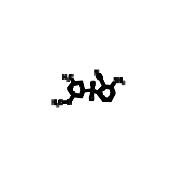 COc1cc(C)cc(S(=O)(=O)c2cccc(N)c2C#N)c1